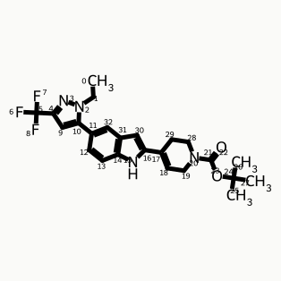 CCn1nc(C(F)(F)F)cc1-c1ccc2[nH]c(C3=CCN(C(=O)OC(C)(C)C)CC3)cc2c1